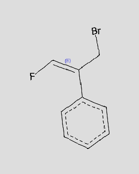 F/C=C(/CBr)c1ccccc1